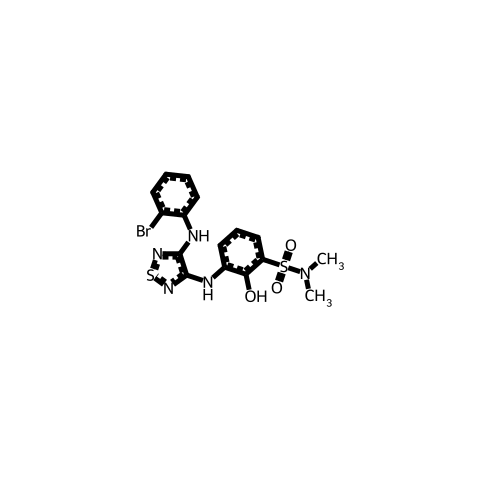 CN(C)S(=O)(=O)c1cccc(Nc2nsnc2Nc2ccccc2Br)c1O